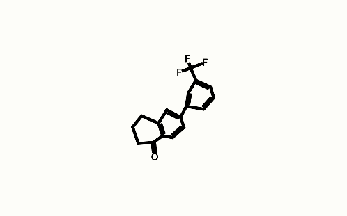 O=C1CCCc2cc(-c3cccc(C(F)(F)F)c3)ccc21